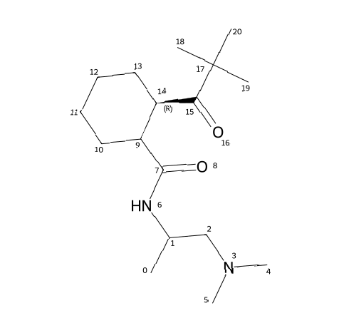 CC(CN(C)C)NC(=O)C1CCCC[C@H]1C(=O)C(C)(C)C